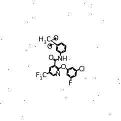 CS(=O)(=O)c1cccc(NC(=O)c2cc(C(F)(F)F)cnc2Oc2cc(F)cc(Cl)c2)c1